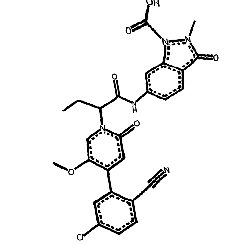 CCC(C(=O)Nc1ccc2c(=O)n(C)n(C(=O)O)c2c1)n1cc(OC)c(-c2cc(Cl)ccc2C#N)cc1=O